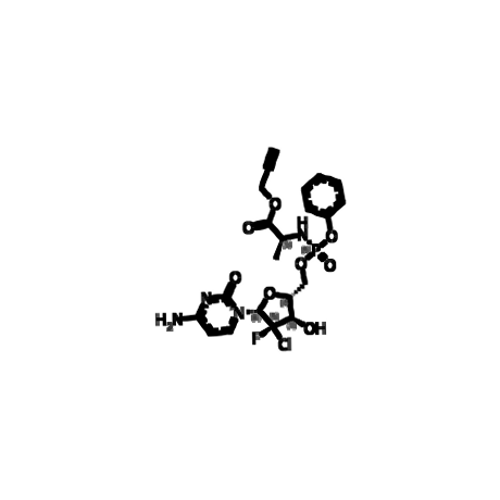 C#CCOC(=O)[C@H](C)N[P@](=O)(OC[C@H]1O[C@@H](n2ccc(N)nc2=O)[C@@](F)(Cl)[C@@H]1O)Oc1ccccc1